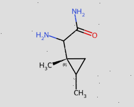 CC1C[C@@]1(C)C(N)C(N)=O